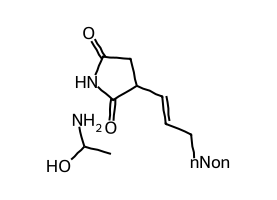 CC(N)O.CCCCCCCCCCC=CC1CC(=O)NC1=O